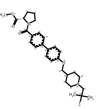 COC(=O)[C@@H]1CCCN1C(=O)c1ccc(-c2ccc(OCC3CCN(CC(C)(C)F)CC3)cc2)cc1